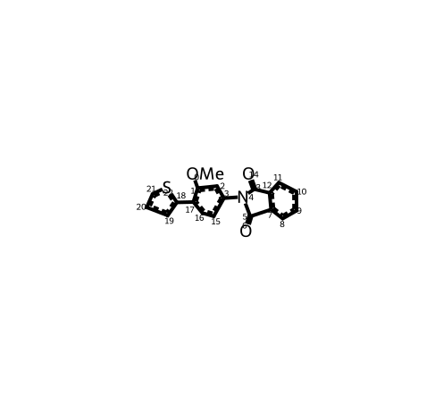 COc1cc(N2C(=O)c3ccccc3C2=O)ccc1-c1cccs1